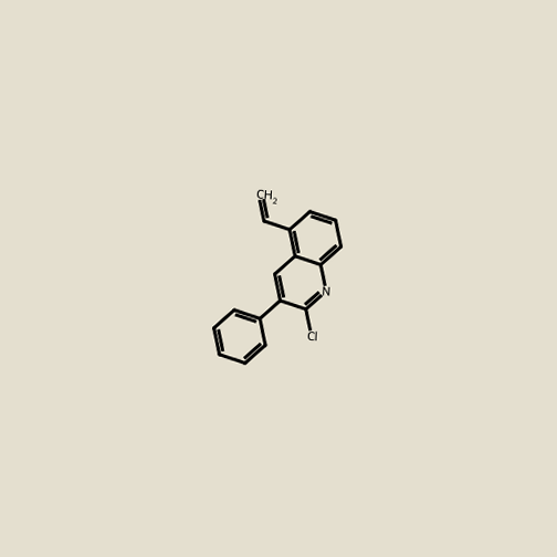 C=Cc1cccc2nc(Cl)c(-c3ccccc3)cc12